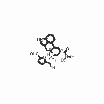 CCN(CC)C(=O)[C@@H]1C=C2c3cccc4[nH]cc(c34)C[C@H]2N(C)C1.O=Cc1ccc(CO)o1